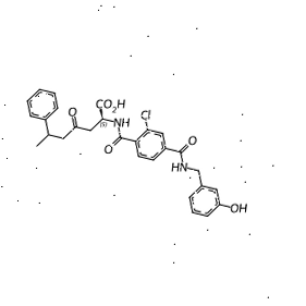 CC(CC(=O)C[C@H](NC(=O)c1ccc(C(=O)NCc2cccc(O)c2)cc1Cl)C(=O)O)c1ccccc1